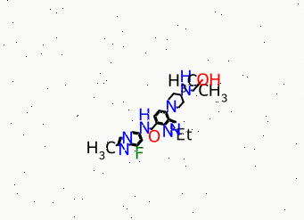 CCn1cc2c(N3CCC(NCC(C)(C)O)CC3)ccc(C(=O)Nc3cc(F)c4nc(C)cn4c3)c2n1